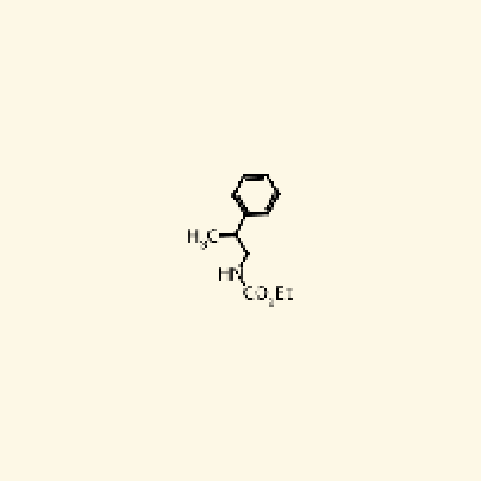 CCOC(=O)NCC(C)c1ccccc1